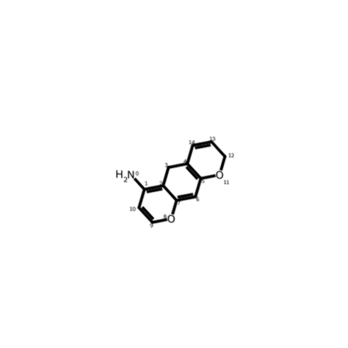 NC1=C2CC3=C(C=C2OC=C1)OCC=C3